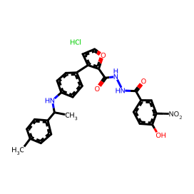 Cc1ccc(C(C)Nc2ccc(-c3ccoc3C(=O)NNC(=O)c3ccc(O)c([N+](=O)[O-])c3)cc2)cc1.Cl